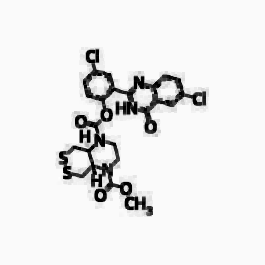 COC(=O)N1CCN(C(=O)Oc2ccc(Cl)cc2-c2nc3ccc(Cl)cc3c(=O)[nH]2)[C@@H]2CSSC[C@H]21